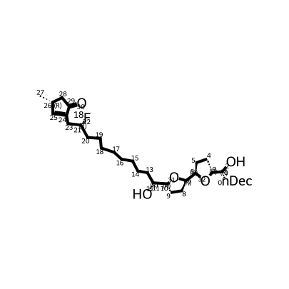 CCCCCCCCCC[C@@H](O)[C@H]1CC[C@H]([C@H]2CC[C@H]([C@H](O)CCCCCCCC[C@@H]([18F])CC3=C[C@H](C)CC3=O)O2)O1